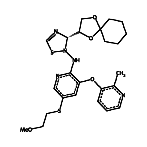 COCCSc1cnc(NN2SC=N[C@@H]2C2COC3(CCCCC3)O2)c(Oc2cccnc2C)c1